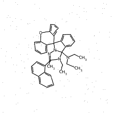 CCN(CC)C1(N(CC)CC)c2ccccc2C2(c3ccccc3Oc3ccccc32)N1N=Cc1cccc2ccccc12